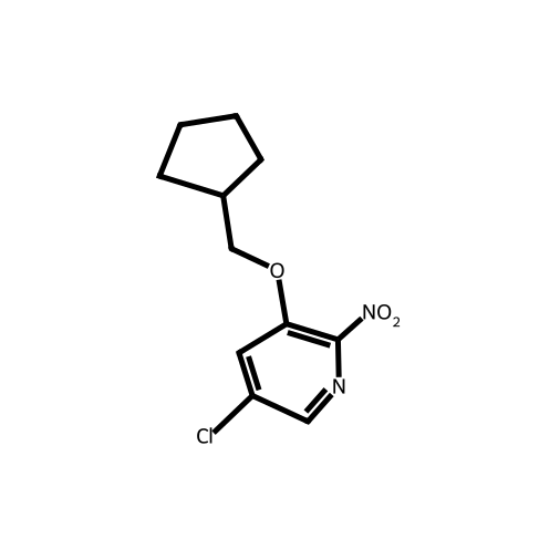 O=[N+]([O-])c1ncc(Cl)cc1OCC1CCCC1